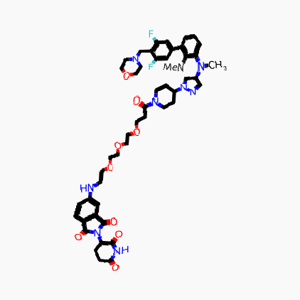 CNc1c(-c2cc(F)c(CN3CCOCC3)c(F)c2)cccc1N(C)C1C=NN(C2CCN(C(=O)CCOCCOCCOCCNc3ccc4c(c3)C(=O)N(C3CCC(=O)NC3=O)C4=O)CC2)C1